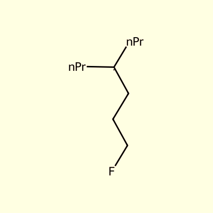 CCC[C](CCC)CCCF